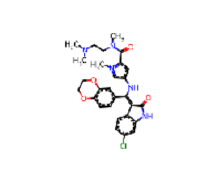 CN(C)CCN(C)C(=O)c1cc(N/C(=C2\C(=O)Nc3cc(Cl)ccc32)c2ccc3c(c2)OCCO3)cn1C